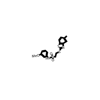 COc1cccc(NS(=O)(=O)CCSc2nc3cc(C)ccc3s2)c1